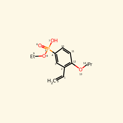 C=Cc1cc(P(=O)(O)OCC)ccc1OC(C)C